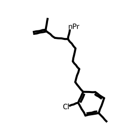 C=C(C)CC(CCC)CCCCc1ccc(C)cc1Cl